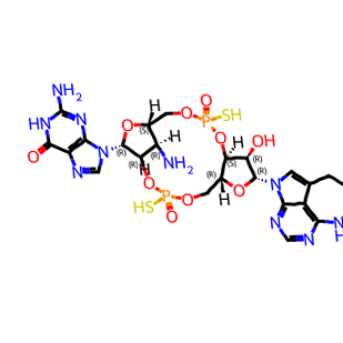 Nc1nc2c(ncn2[C@@H]2O[C@@H]3COP(=O)(S)O[C@H]4[C@@H](O)[C@H](n5cc6c7c(ncnc75)NCCC6)O[C@@H]4COP(=O)(S)O[C@@H]2[C@@H]3N)c(=O)[nH]1